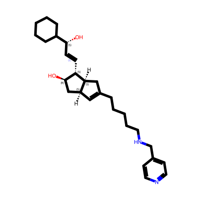 O[C@H](/C=C/[C@@H]1[C@H]2CC(CCCCCNCc3ccncc3)=C[C@H]2C[C@H]1O)C1CCCCC1